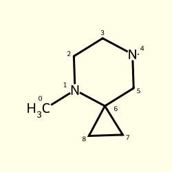 CN1CC[N]CC12CC2